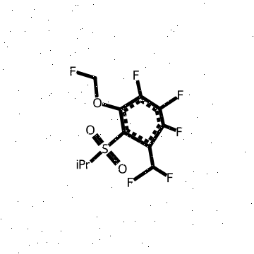 CC(C)S(=O)(=O)c1c(OCF)c(F)c(F)c(F)c1C(F)F